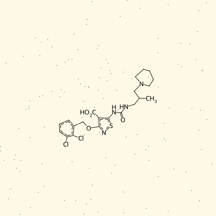 CC(CNC(=O)Nc1snc(OCc2cccc(Cl)c2Cl)c1C(=O)O)CN1CCCCC1